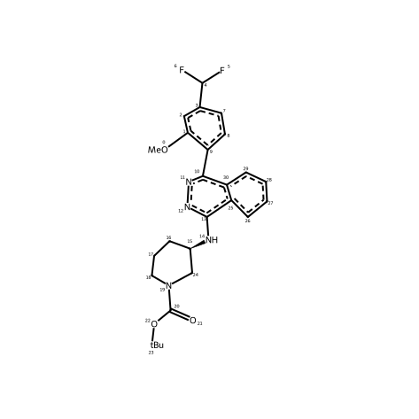 COc1cc(C(F)F)ccc1-c1nnc(N[C@@H]2CCCN(C(=O)OC(C)(C)C)C2)c2ccccc12